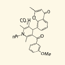 CCCN1C(C)=C(C(=O)O)C(c2cccc3c(=O)cc(C)oc23)C(C(=O)c2cccc(OC)c2)=C1C